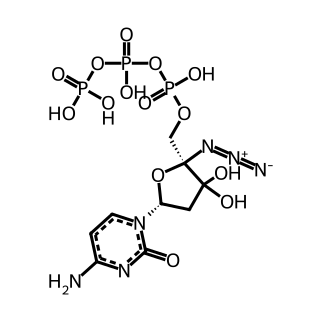 [N-]=[N+]=N[C@]1(COP(=O)(O)OP(=O)(O)OP(=O)(O)O)O[C@@H](n2ccc(N)nc2=O)CC1(O)O